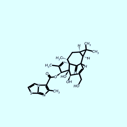 CC1=C[C@]23C(=O)[C@@H](C=C(CO)[C@@H](O)[C@]2(O)[C@H]1OC(=O)c1c(C)nc2sccn12)[C@H]1[C@@H](C[C@H]3C)C1(C)C